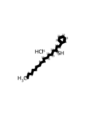 CCCCCCCCCCCCCCCC(S)CCc1ccccc1.Cl